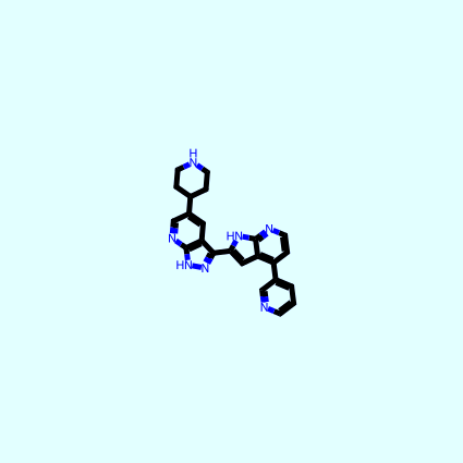 c1cncc(-c2ccnc3[nH]c(-c4n[nH]c5ncc(C6CCNCC6)cc45)cc23)c1